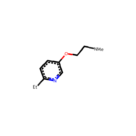 CCc1ccc(OCCNC)cn1